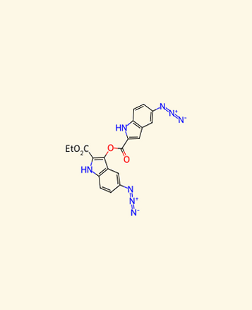 CCOC(=O)c1[nH]c2ccc(N=[N+]=[N-])cc2c1OC(=O)c1cc2cc(N=[N+]=[N-])ccc2[nH]1